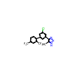 N#Cc1[nH]nnc1-c1cc(Cl)cc(-c2ccc(C(F)(F)F)cc2C(F)(F)F)c1